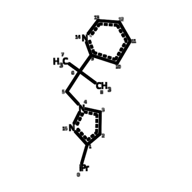 CC(C)c1ccn(CC(C)(C)c2ccccn2)n1